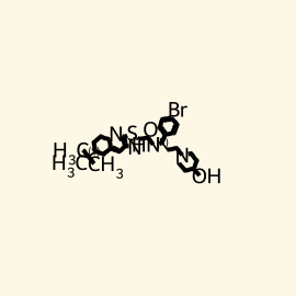 CC(C)(C)[C@H]1CCc2nc3sc(C(=O)N[C@H](CCN4CCC(O)CC4)c4ccc(Br)cc4)nc3cc2C1